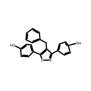 Oc1ccc(-c2noc(-c3ccc(O)cc3)c2Cc2ccccc2)cc1